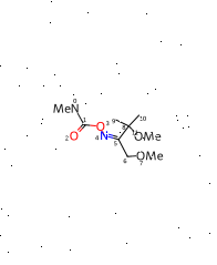 CNC(=O)ON=C(COC)C(C)(C)OC